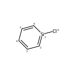 Cl[si]1ccccc1